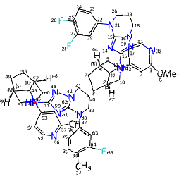 COc1cc(N2C[C@H]3CC[C@@H](C2)C3Nc2nc3n(n2)CCCN3c2ccc(F)c(F)c2)ccn1.Cc1ccc(N2CCCn3nc(NC4[C@@H]5CC[C@H]4CN(c4ccnc(C(F)(F)F)c4)C5)nc32)cc1F